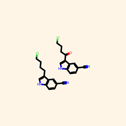 N#Cc1ccc2[nH]cc(C(=O)CCCCl)c2c1.N#Cc1ccc2[nH]cc(CCCCCl)c2c1